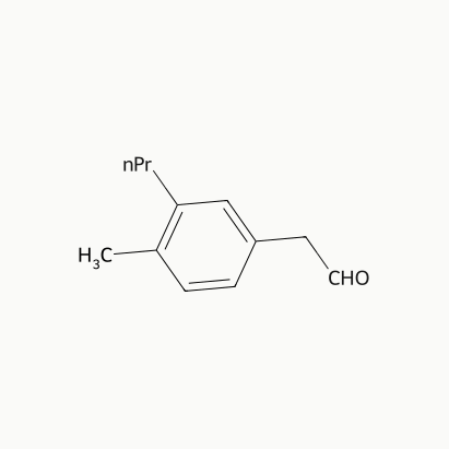 CCCc1cc(CC=O)ccc1C